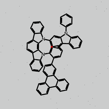 c1ccc(-n2c3ccccc3c3ccc(-n4c5ccccc5c5ccc6c7ccccc7n(-c7ccccc7-c7ccc8c9ccccc9c9ccccc9c8c7)c6c54)cc32)cc1